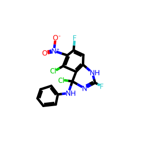 O=[N+]([O-])c1c(F)cc2c(c1Cl)C(Cl)(Nc1ccccc1)N=C(F)N2